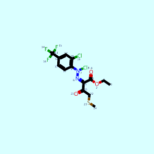 CCOC(=O)C(=NN(Cl)c1ccc(C(F)(F)F)cc1Cl)C(=O)CSC